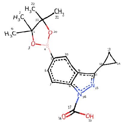 CC1(C)OB(c2ccc3c(c2)c(C2CC2)nn3C(=O)O)OC1(C)C